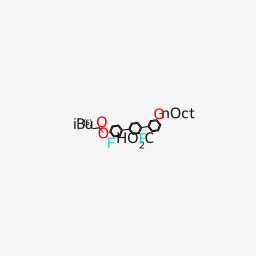 CCCCCCCCOc1ccc(C(=O)O)c(-c2ccc(-c3ccc(OC(=O)C[C@@H](C)CC)c(F)c3)cc2F)c1